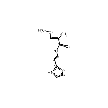 COC=C(C)C(=O)OC=Cc1nccs1